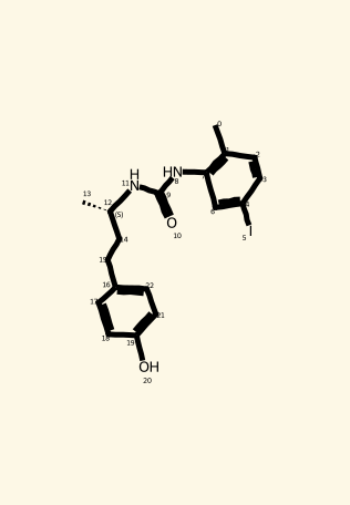 Cc1ccc(I)cc1NC(=O)N[C@@H](C)CCc1ccc(O)cc1